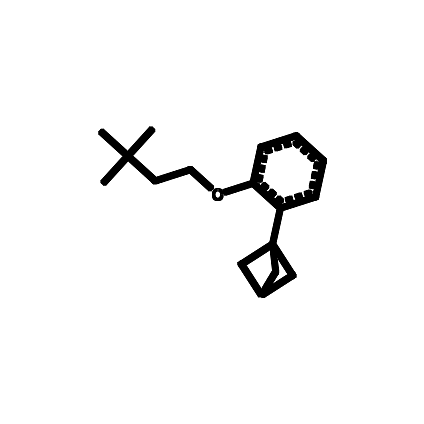 CC(C)(C)CCOc1ccccc1C12CC(C1)C2